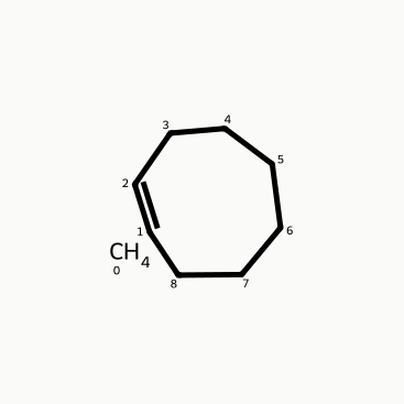 C.C1=CCCCCCC1